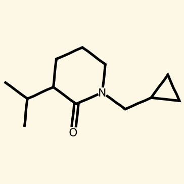 CC(C)C1CCCN(CC2CC2)C1=O